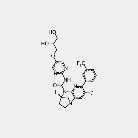 O=C(Nc1ncc(OC[C@H](O)CO)cn1)N1c2nc(-c3cccc(C(F)(F)F)c3)c(Cl)cc2N2CC[C@H]1C2